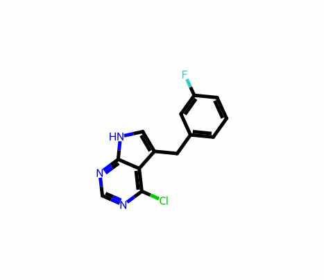 Fc1cccc(Cc2c[nH]c3ncnc(Cl)c23)c1